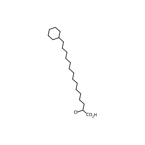 O=C(O)C(Cl)CCCCCCCCCCCCCC1CCCCC1